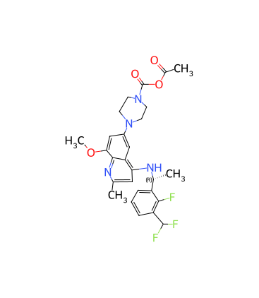 COc1cc(N2CCN(C(=O)OC(C)=O)CC2)cc2c(N[C@H](C)c3cccc(C(F)F)c3F)cc(C)nc12